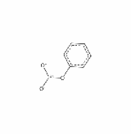 [O-][I+2]([O-])Oc1ccccc1